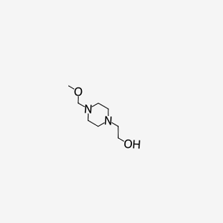 COCN1CCN(CCO)CC1